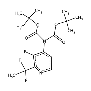 CC(C)(C)OC(=O)N(C(=O)OC(C)(C)C)c1ccnc(C(C)(F)F)c1F